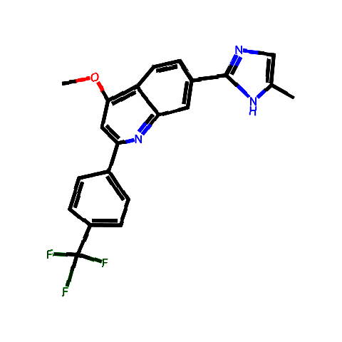 COc1cc(-c2ccc(C(F)(F)F)cc2)nc2cc(-c3ncc(C)[nH]3)ccc12